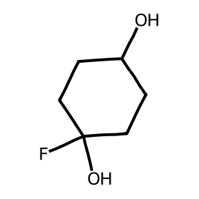 OC1CCC(O)(F)CC1